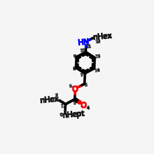 CCCCCCCC(CCCCCC)C(=O)OCc1ccc(NCCCCCC)cc1